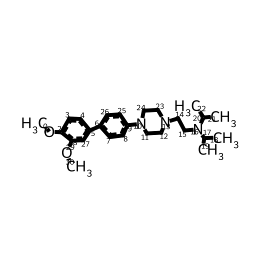 COc1ccc(-c2ccc(N3CCN(CCN(C(C)C)C(C)C)CC3)cc2)cc1OC